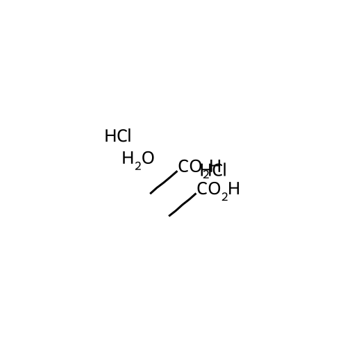 CC(=O)O.CC(=O)O.Cl.Cl.O